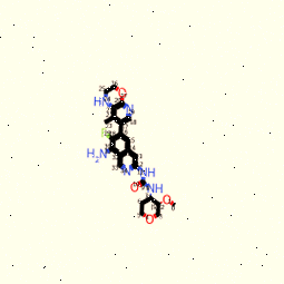 CO[C@@H]1COCC[C@@H]1NC(=O)Nc1cc2cc(-c3cnc4c(c3C)NCCO4)c(F)c(N)c2cn1